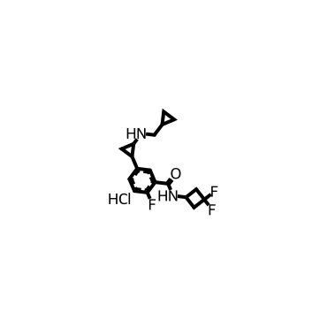 Cl.O=C(NC1CC(F)(F)C1)c1cc(C2CC2NCC2CC2)ccc1F